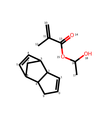 C1=CC2C3C=CC(C3)C2C1.C=C(C)C(=O)OC(C)O